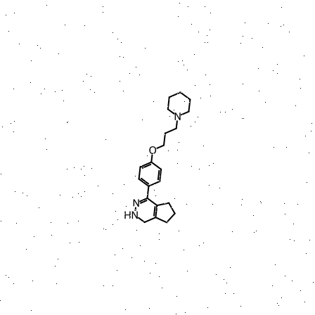 c1cc(C2=NNCC3=C2CCC3)ccc1OCCCN1CCCCC1